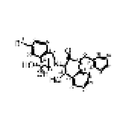 O=c1c(N2Cc3ccc(Br)cc3S(O)(O)N2)c(O)c2cccnc2n1Cc1ccccc1